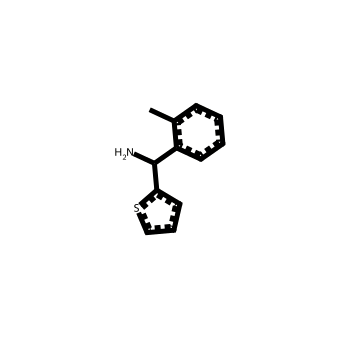 Cc1ccccc1C(N)c1cccs1